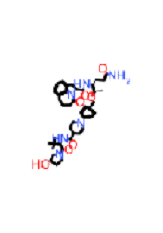 C[C@@H](OCc1ccc(N2CCC(C(=O)N[C@H](C(=O)N3CC[C@@H](O)C3)C(C)(C)C)CC2)cc1)[C@H](CCC(N)=O)NC(=O)[C@@H]1Cc2cccc3c2N1C(=O)CCC3